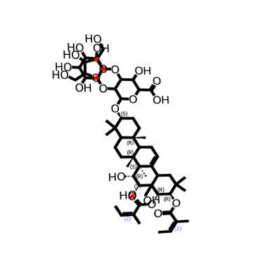 C/C=C(/C)C(=O)O[C@H]1[C@H](OC(=O)/C(C)=C\C)C2(CO)C(CC1(C)C)C1=CCC3[C@@]4(C)CC[C@H](OC5OC(C(=O)O)C(O)C(OC6OC(CO)C(O)C6O)C5OC5OC(CO)C(O)C(O)C5O)C(C)(C)C4CC[C@@]3(C)[C@]1(C)[C@@H](O)[C@H]2O